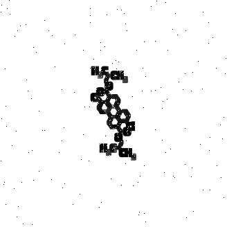 CC(C)COC(=O)c1ccc2c3ccc(Cl)c4c(C(=O)OCC(C)C)ccc(c5ccc(Cl)c1c52)c43